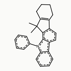 CC1(C)C2=C(CCCC2)c2ccc3c4ccccc4n(-c4ccccc4)c3c21